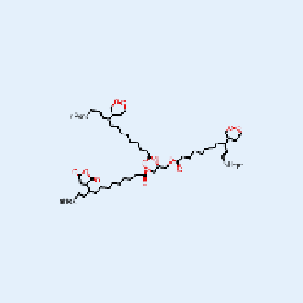 CCCCC/C=C\CC(/C=C/CCCCCCC(=O)OC(COC(=O)CCCCCCCCC(/C=C/CCCCCC)C1CC(=O)OC1=O)COC(=O)CCCCCCCC(/C=C/CCCCCCC)C1CCOOC1)C1CCOOC1